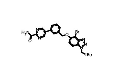 CC(C)(C)Cn1nnc2c(Br)c(OCc3cccc(-c4cnc(C(N)=O)nc4)c3)ccc21